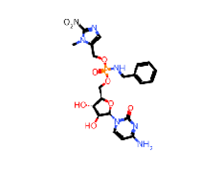 Cn1c(COP(=O)(NCc2ccccc2)OC[C@H]2O[C@@H](n3ccc(N)nc3=O)[C@@H](O)[C@@H]2O)cnc1[N+](=O)[O-]